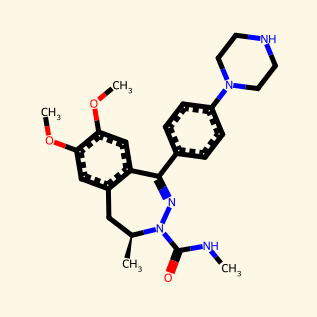 CNC(=O)N1N=C(c2ccc(N3CCNCC3)cc2)c2cc(OC)c(OC)cc2C[C@@H]1C